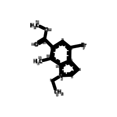 CCn1ccc2c(Br)cc(C(=O)OC)c(C)c21